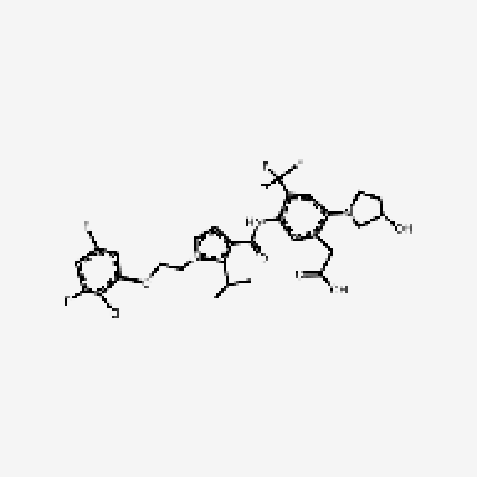 CC(C)c1c(C(=O)Nc2cc(CC(=O)O)c(N3CC[C@@H](O)C3)cc2C(F)(F)F)ccn1CCOc1cc(F)cc(F)c1Cl